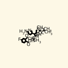 COc1noc(CN(C)C(=O)OC(C)(C)C)c1-c1cnc(N)c(O[C@H](C)c2cc(F)ccc2C(=O)O)c1